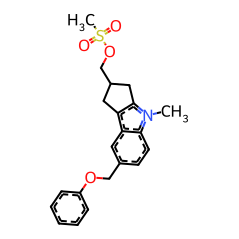 Cn1c2c(c3cc(COc4ccccc4)ccc31)CC(COS(C)(=O)=O)C2